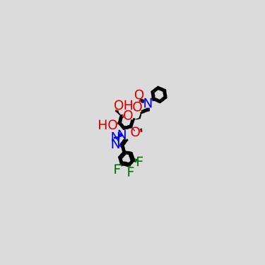 CO[C@@H]1[C@@H](n2cc(-c3cc(F)c(F)c(F)c3)nn2)[C@@H](O)[C@@H](CO)O[C@@H]1C[C@@H]1CN(C2CCCCC2)C(=O)O1